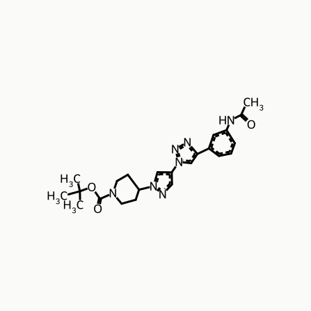 CC(=O)Nc1cccc(-c2cn(-c3cnn(C4CCN(C(=O)OC(C)(C)C)CC4)c3)nn2)c1